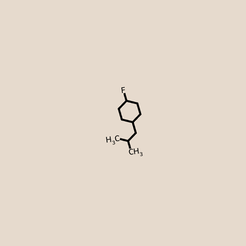 CC(C)CC1CCC(F)CC1